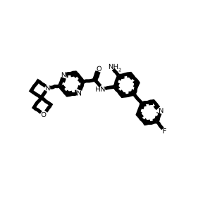 Nc1ccc(-c2ccc(F)nc2)cc1NC(=O)c1cnc(N2CCC23COC3)cn1